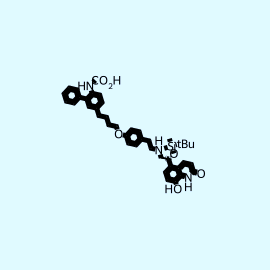 CC(C)(C)[Si](C)(C)O[C@H](CNCCc1ccc(OCCCCc2ccc(NC(=O)O)c(-c3ccccc3)c2)cc1)c1ccc(O)c2[nH]c(=O)ccc12